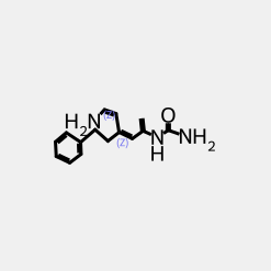 C=C(/C=C(\C=C/N)CCc1ccccc1)NC(N)=O